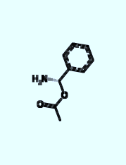 CC(=O)O[C@H](N)c1ccccc1